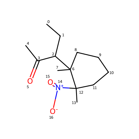 CCC(C(C)=O)C1(C)CCCCC1(C)[N+](=O)[O-]